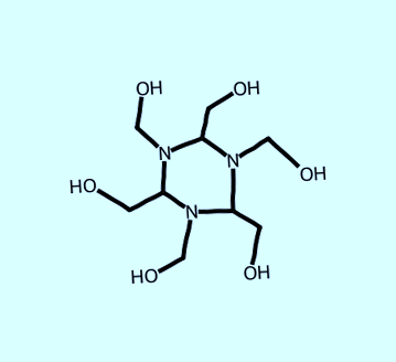 OCC1N(CO)C(CO)N(CO)C(CO)N1CO